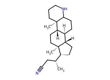 C[C@H](CC#N)[C@H]1CC[C@H]2[C@@H]3CCC4NCCC[C@]4(C)[C@H]3CC[C@]12C